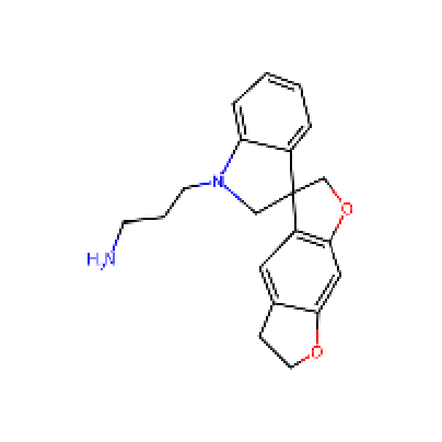 NCCCN1CC2(COc3cc4c(cc32)CCO4)c2ccccc21